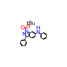 CC(C)(C)OC(=O)n1nc(-c2ccccc2)c2ccc(Nc3ccccc3)cc21